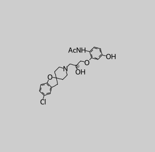 CC(=O)Nc1ccc(O)cc1OC[C@@H](O)CN1CCC2(CC1)Cc1cc(Cl)ccc1O2